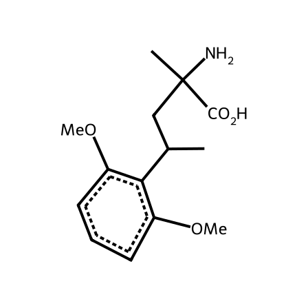 COc1cccc(OC)c1C(C)CC(C)(N)C(=O)O